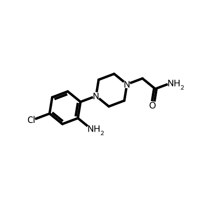 NC(=O)CN1CCN(c2ccc(Cl)cc2N)CC1